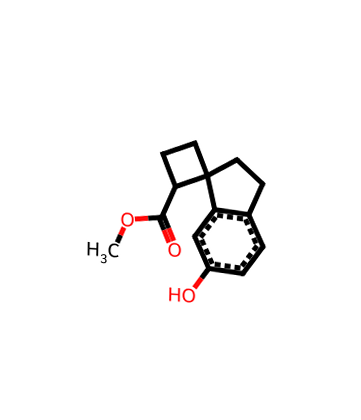 COC(=O)C1CCC12CCc1ccc(O)cc12